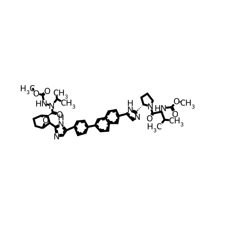 COC(=O)N[C@H](C(=O)N1CCC[C@H]1c1ncc(-c2ccc3cc(-c4ccc(-c5cnc(C6C7CCC(O7)[C@H]6C(=O)N(NC(=O)OC)C(C)C)[nH]5)cc4)ccc3c2)[nH]1)C(C)C